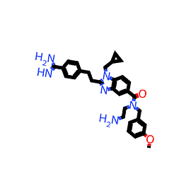 COc1cccc(CN(CCN)C(=O)c2ccc3c(c2)nc(CCc2ccc(C(=N)N)cc2)n3CC2CC2)c1